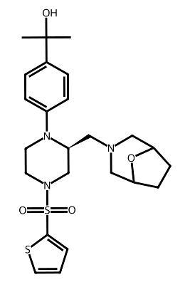 CC(C)(O)c1ccc(N2CCN(S(=O)(=O)c3cccs3)C[C@@H]2CN2CC3CCC(C2)O3)cc1